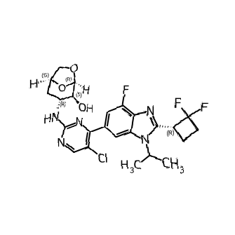 CC(C)n1c([C@H]2CCC2(F)F)nc2c(F)cc(-c3nc(N[C@@H]4C[C@H]5CO[C@H](O5)[C@H]4O)ncc3Cl)cc21